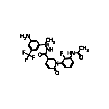 CC(=O)Nc1cccc(-n2cc(C(=O)N[C@H](C)c3cc(N)cc(C(F)(F)F)c3)ccc2=O)c1F